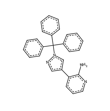 Nc1ncccc1-c1cnn(C(c2ccccc2)(c2ccccc2)c2ccccc2)c1